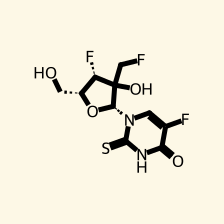 O=c1[nH]c(=S)n([C@@H]2O[C@H](CO)[C@H](F)C2(O)CF)cc1F